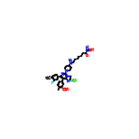 Cc1ccc(-c2c(-c3ccc(C#N)c(F)c3)nc(N3CCC(NCCCCCCC(=O)NO)CC3)n3ccnc23)cc1O.Cl